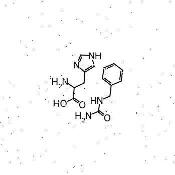 NC(=O)NCc1ccccc1.NC(Cc1c[nH]cn1)C(=O)O